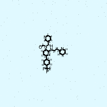 O=CN(Cc1cccnc1)c1ccc(-c2ccc(C(F)(F)F)cc2)nc1NCCc1ccccn1